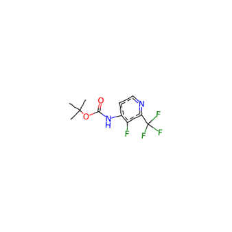 CC(C)(C)OC(=O)Nc1ccnc(C(F)(F)F)c1F